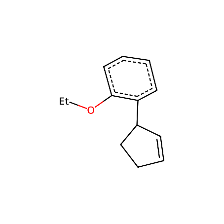 CCOc1ccccc1C1C=CCC1